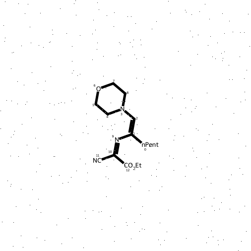 CCCCCC(=CN1CCOCC1)N=C(C#N)C(=O)OCC